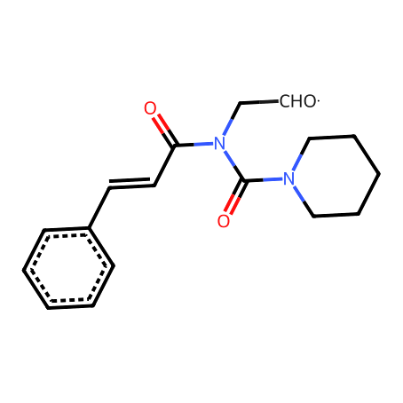 O=[C]CN(C(=O)C=Cc1ccccc1)C(=O)N1CCCCC1